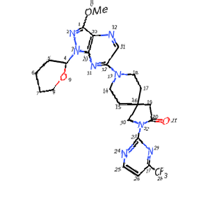 COc1nn(C2CCCCO2)c2nc(N3CCC4(CC3)CC(=O)N(c3nccc(C(F)(F)F)n3)C4)cnc12